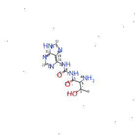 CC(O)C(N)C(=O)NC(=O)Nc1ncnc2[nH]cnc12